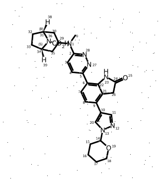 CN(c1ccc(-c2ccc(-c3cnn(C4CCCCO4)c3)c3c2NC(=O)C3)nn1)C1C[C@H]2CC[C@@H](C1)N2C(=O)O